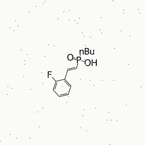 CCCCP(=O)(O)C=Cc1ccccc1F